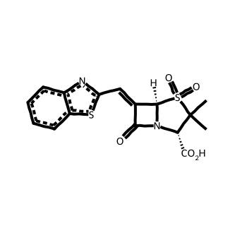 CC1(C)[C@H](C(=O)O)N2C(=O)/C(=C\c3nc4ccccc4s3)[C@H]2S1(=O)=O